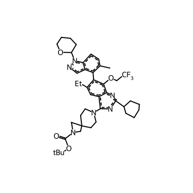 CCc1cc2c(N3CCC4(CC3)CN(C(=O)OC(C)(C)C)C4)nc(C3CCCCC3)nc2c(OCC(F)(F)F)c1-c1c(C)ccc2c1cnn2C1CCCCO1